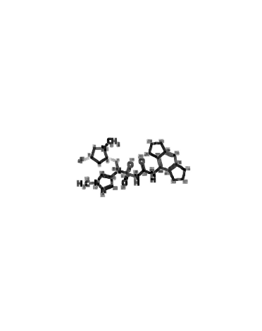 CN1C[C@@H](F)C[C@H]1CN(c1cnn(C)c1)S(=O)(=O)NC(=O)Nc1c2c(cc3c1CCC3)CCC2